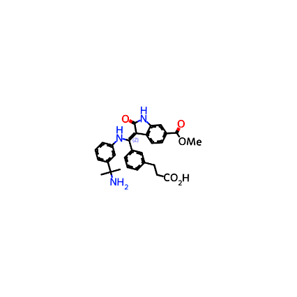 COC(=O)c1ccc2c(c1)NC(=O)/C2=C(\Nc1cccc(C(C)(C)N)c1)c1cccc(CCC(=O)O)c1